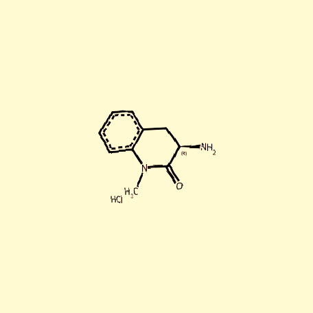 CN1C(=O)[C@H](N)Cc2ccccc21.Cl